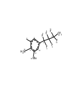 Cc1cc(C(F)(F)C(F)(F)C(F)(F)C(F)(F)F)cc(C(C)(C)C)c1N